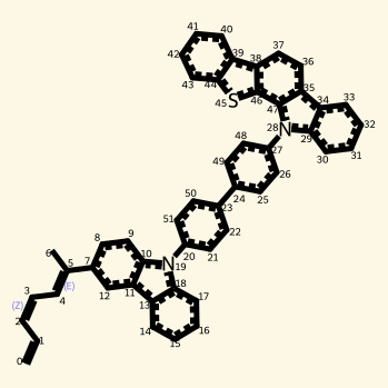 C=C/C=C\C=C(/C)c1ccc2c(c1)c1ccccc1n2-c1ccc(-c2ccc(-n3c4ccccc4c4ccc5c6ccccc6sc5c43)cc2)cc1